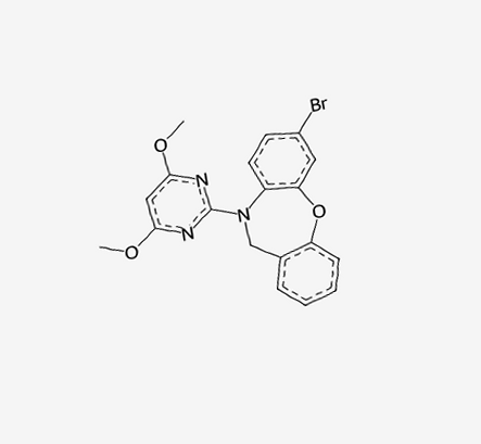 COc1cc(OC)nc(N2Cc3ccccc3Oc3cc(Br)ccc32)n1